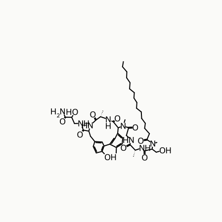 CCCCCCCCCCCCCCCC(=O)N(C)C(CO)C(=O)N[C@H](C)C(=O)NCC(=O)N(C)C1C(=O)N[C@@H](C)C(=O)NC(C(=O)NCC(O)C(N)=O)Cc2ccc(O)c(c2)-c2cc1ccc2C